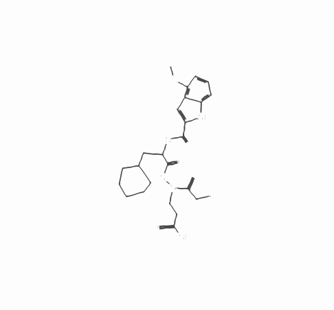 COc1cccc2[nH]c(C(=O)NC(CC3CCCCC3)C(=O)NN(CCC(N)=O)C(=O)CF)cc12